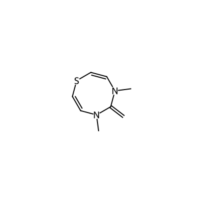 C=C1N(C)/C=C\S/C=C\N1C